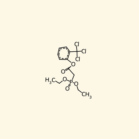 CCOP(=O)(CC(=O)Oc1ccccc1C(Cl)(Cl)Cl)OCC